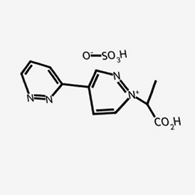 CC(C(=O)O)[n+]1ccc(-c2cccnn2)cn1.O=S(=O)([O-])O